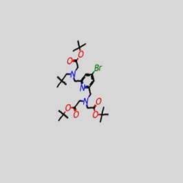 CC(C)(C)CN(CC(=O)OC(C)(C)C)Cc1cc(Br)cc(CN(CC(=O)OC(C)(C)C)CC(=O)OC(C)(C)C)n1